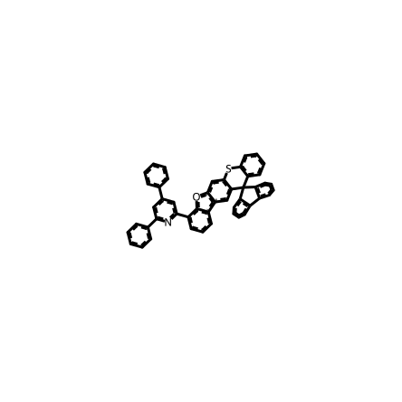 c1ccc(-c2cc(-c3ccccc3)nc(-c3cccc4c3oc3cc5c(cc34)C3(c4ccccc4S5)c4ccccc4-c4ccccc43)c2)cc1